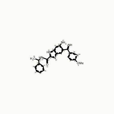 COc1ccc(C(=N)c2cc3nc(C(=O)NC(C)c4ccccc4)[nH]c3cc2N)cn1